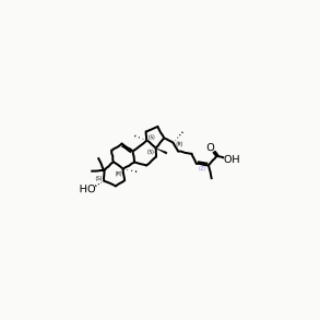 C/C(=C/CC[C@@H](C)C1CC[C@]2(C)C3=CCC4C(C)(C)[C@@H](O)CC[C@]4(C)C3CC[C@@]12C)C(=O)O